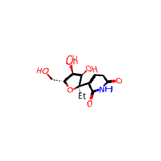 CC[C@]1(C2=CCC(=O)NC2=O)O[C@H](CO)[C@@H](O)[C@H]1O